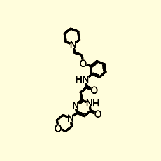 O=C(Cc1nc(N2CCOCC2)cc(=O)[nH]1)Nc1ccccc1OCCN1CCCCC1